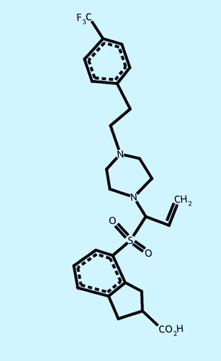 C=CC(N1CCN(CCc2ccc(C(F)(F)F)cc2)CC1)S(=O)(=O)c1cccc2c1CC(C(=O)O)C2